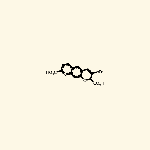 CCCC1=Cc2cc3ccc(C(=O)O)nc3cc2OC1C(=O)O